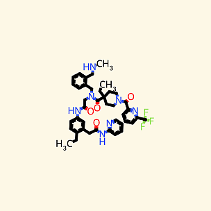 CCc1ccc(NC(=O)CN(Cc2ccccc2CNC)C(=O)C2(CC)CCN(C(=O)c3cccc(C(F)(F)F)n3)CC2)cc1CC(=O)Nc1ccccn1